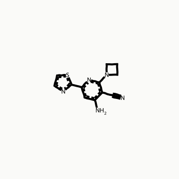 N#Cc1c(N)cc(-c2nccs2)nc1N1CCC1